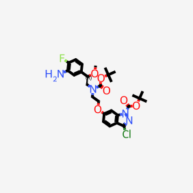 CO[C@@H](CN(CCOc1ccc2c(Cl)nn(C(=O)OC(C)(C)C)c2c1)C(=O)OC(C)(C)C)c1ccc(F)c(N)c1